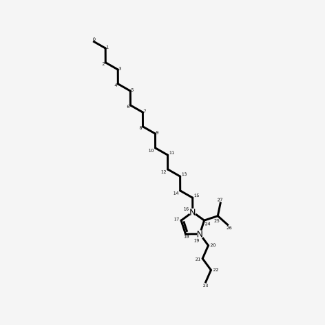 CCCCCCCCCCCCCCCCN1C=CN(CCCC)C1C(C)C